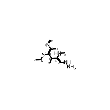 C=N/C(C)=C(\SCC)C(C)/C(=C/NN)NC